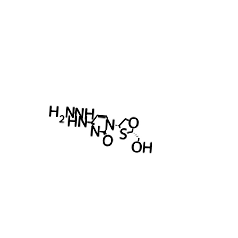 NNNc1ccn([C@@H]2CO[C@H](CO)S2)c(=O)n1